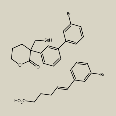 O=C(O)CCCC=Cc1cccc(Br)c1.O=C1OCCCC1(C[SeH])c1cccc(-c2cccc(Br)c2)c1